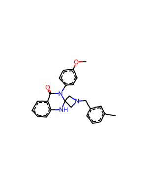 COc1ccc(N2C(=O)c3ccccc3NC23CN(Cc2cccc(C)c2)C3)cc1